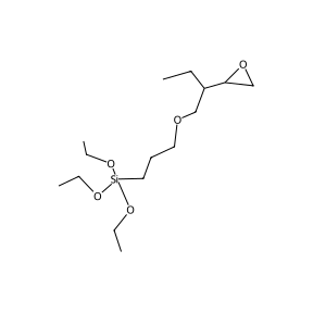 CCO[Si](CCCOCC(CC)C1CO1)(OCC)OCC